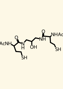 CC(=O)NC(CCS)C(=O)NCC(O)CNC(=O)C(CCS)NC(C)=O